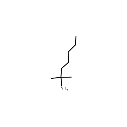 CCCCCC(C)(C)N